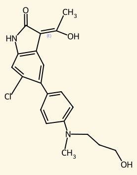 C/C(O)=C1\C(=O)Nc2cc(Cl)c(-c3ccc(N(C)CCCO)cc3)cc21